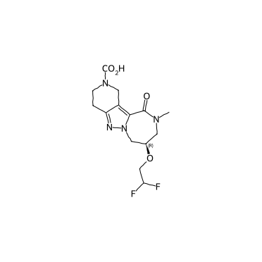 CN1C[C@@H](OCC(F)F)Cn2nc3c(c2C1=O)CN(C(=O)O)CC3